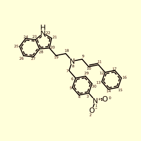 O=[N+]([O-])c1ccc(CN(CC=Cc2ccccc2)CCc2c[nH]c3ccccc23)cc1